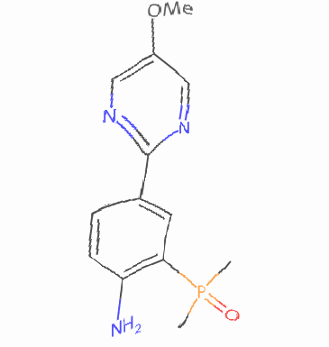 COc1cnc(-c2ccc(N)c(P(C)(C)=O)c2)nc1